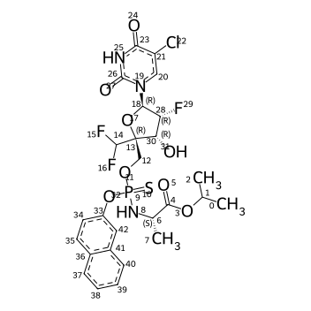 CC(C)OC(=O)[C@H](C)NP(=S)(OC[C@@]1(C(F)F)O[C@@H](n2cc(Cl)c(=O)[nH]c2=O)[C@H](F)[C@@H]1O)Oc1ccc2ccccc2c1